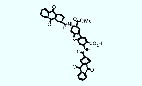 COC(=O)c1cc2c(cc1NC(=O)c1ccc3c(c1)C(=O)c1ccccc1C3=O)sc1cc(NC(=O)c3ccc4c(c3)C(=O)c3ccccc3C4=O)c(C(=O)O)cc12